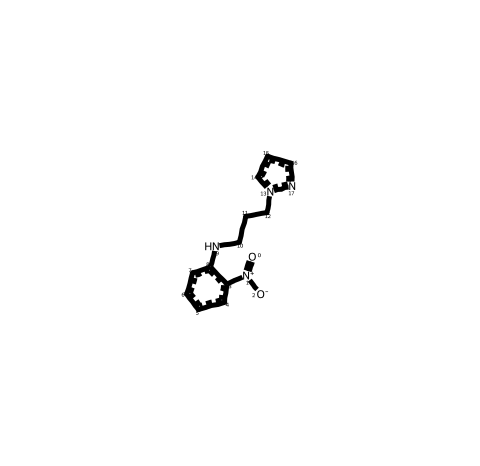 O=[N+]([O-])c1ccccc1NCCCn1cccn1